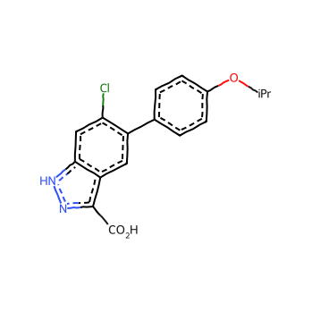 CC(C)Oc1ccc(-c2cc3c(C(=O)O)n[nH]c3cc2Cl)cc1